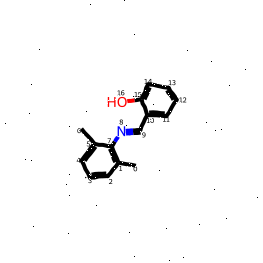 Cc1c[c]cc(C)c1/N=C/c1ccccc1O